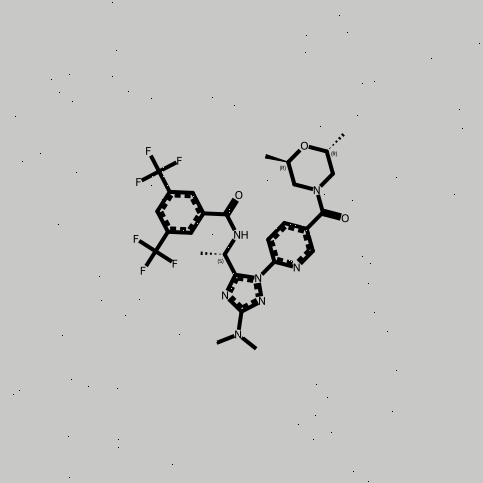 C[C@@H]1CN(C(=O)c2ccc(-n3nc(N(C)C)nc3[C@H](C)NC(=O)c3cc(C(F)(F)F)cc(C(F)(F)F)c3)nc2)C[C@@H](C)O1